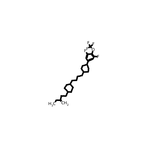 C=C(CC)CCC1CCC(CCCCC2CCC(c3cc(F)c(OC(F)(F)F)c(F)c3)CC2)CC1